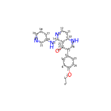 CCOc1ccc(-c2c[nH]c3ccnc(Nc4cccnc4)c3c2=O)cc1